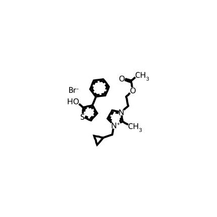 CC(=O)OCCn1cc[n+](CC2CC2)c1C.Oc1sccc1-c1ccccc1.[Br-]